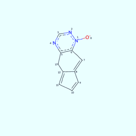 [O-][n+]1ncnc2c1C=C1C=CC=C1C2